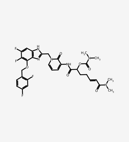 CN(C)C(=O)C=CCCC(OC(=O)N(C)C)C(=O)Nc1cccn(Cc2nc3c(OCc4ccc(F)cc4F)c(F)c(F)cc3[nH]2)c1=O